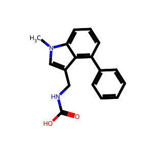 Cn1cc(CNC(=O)O)c2c(-c3ccccc3)cccc21